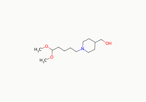 COC(CCCCN1CCC(CO)CC1)OC